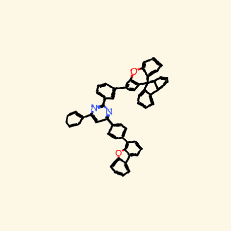 C1=CC2c3ccccc3C3(c4ccccc4Oc4cc(-c5cccc(-c6nc(C7=CCCC=C7)cc(-c7ccc(-c8cccc9c8oc8ccccc89)cc7)n6)c5)ccc43)C2C=C1